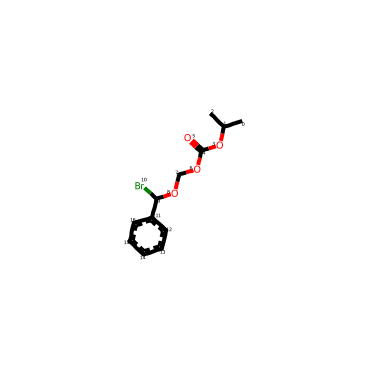 CC(C)OC(=O)OCOC(Br)c1ccccc1